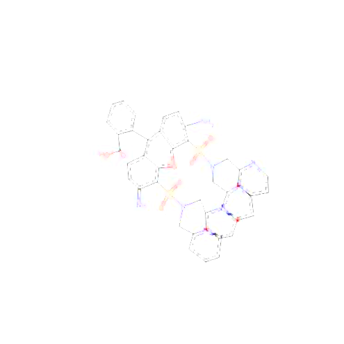 N=c1ccc2c(-c3ccccc3C(=O)O)c3ccc(N)c(S(=O)(=O)N(Cc4ccccn4)Cc4ccccn4)c3oc-2c1S(=O)(=O)N(Cc1ccccn1)Cc1ccccn1